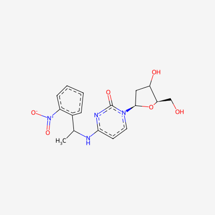 CC(Nc1ccn([C@H]2CC(O)[C@@H](CO)O2)c(=O)n1)c1ccccc1[N+](=O)[O-]